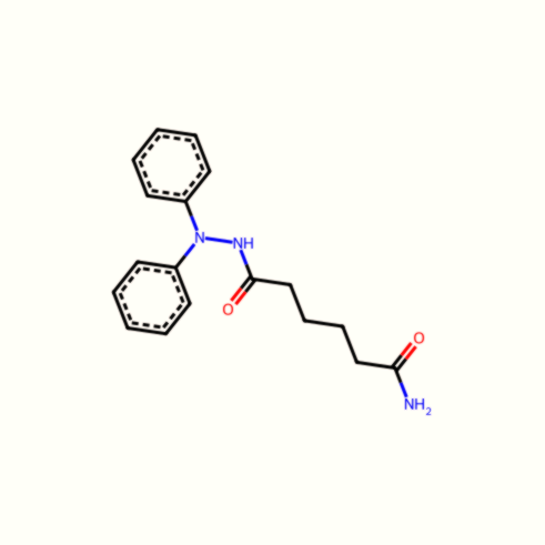 NC(=O)CCCCC(=O)NN(c1ccccc1)c1ccccc1